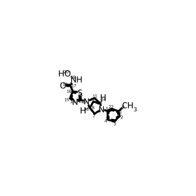 Cc1cccc(N2C[C@@H]3C[C@H]2CN3c2ncc(C(=O)NO)s2)c1